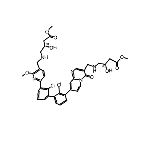 COC(=O)C[C@@H](O)CNCc1ccc(-c2cccc(-c3cccc(-c4ccn5c(=O)c(CNC[C@H](O)CC(=O)OC)cnc5c4)c3Cl)c2Cl)nc1OC